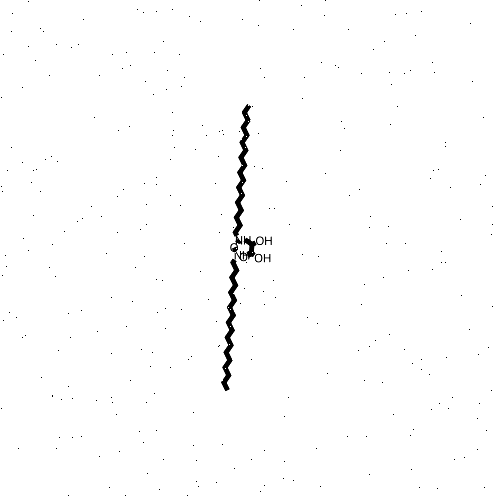 CC(O)C(=O)O.CCCCCCCCCCCCCCCCCCNONCCCCCCCCCCCCCCCCCC